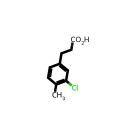 Cc1ccc(CCC(=O)O)cc1Cl